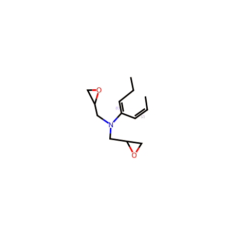 C/C=C\C(=C/CC)N(CC1CO1)CC1CO1